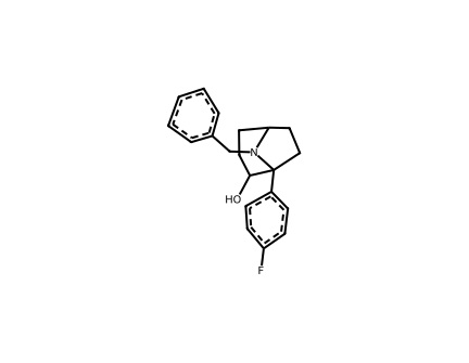 OC1CCC2CCC1(c1ccc(F)cc1)N2Cc1ccccc1